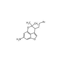 CC(=O)CCC1c2coc3cc(N)cc(c23)OC1(C)C